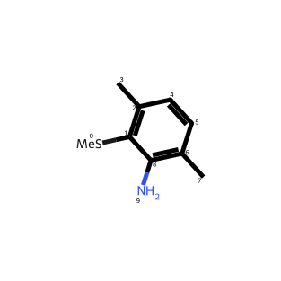 CSc1c(C)ccc(C)c1N